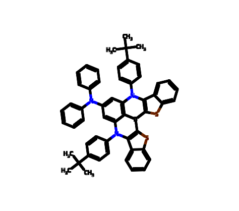 CC(C)(C)c1ccc(N2c3cc(N(c4ccccc4)c4ccccc4)cc4c3B(c3sc5ccccc5c32)c2sc3ccccc3c2N4c2ccc(C(C)(C)C)cc2)cc1